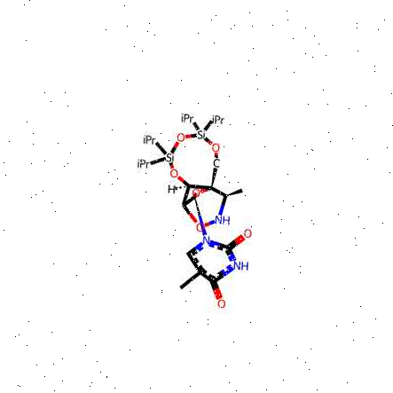 Cc1cn([C@@H]2O[C@]34CO[Si](C(C)C)(C(C)C)O[Si](C(C)C)(C(C)C)O[C@@H]3C2ON[C@@H]4C)c(=O)[nH]c1=O